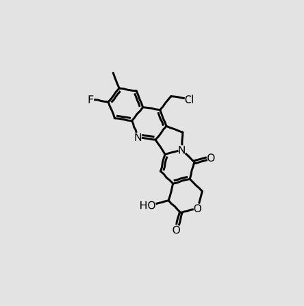 Cc1cc2c(CCl)c3c(nc2cc1F)-c1cc2c(c(=O)n1C3)COC(=O)C2O